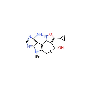 CC(C)n1c2c(c3c(N)ncnc31)-c1noc(C3CC3)c1[C@H](O)CC2